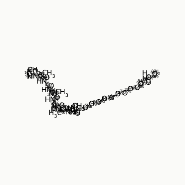 Cn1cc(NC(=O)c2nccn2C)cc1C(=O)NCCC(=O)Nc1cn(C)c(C(=O)Nc2cc(C(=O)NC(C)(C)CC(=O)Nc3cn(C)c(C(=O)NCCOCCOCCOCCOCCOCCOCCOCCOCCOc4ccc(NC(=O)OCc5ccccc5)cc4)n3)n(C)c2)n1